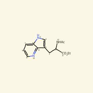 CCOC(=O)C(Cc1c[nH]c2cccnc12)NC(C)=O